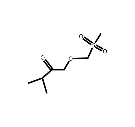 CC(C)C(=O)COCS(C)(=O)=O